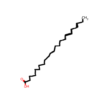 CCC=CCC=CCCCCCCCCCCCCCCCC(=O)O